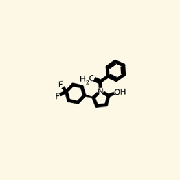 C=C(c1ccccc1)N1C(O)CC[C@H]1C1CCC(F)(F)CC1